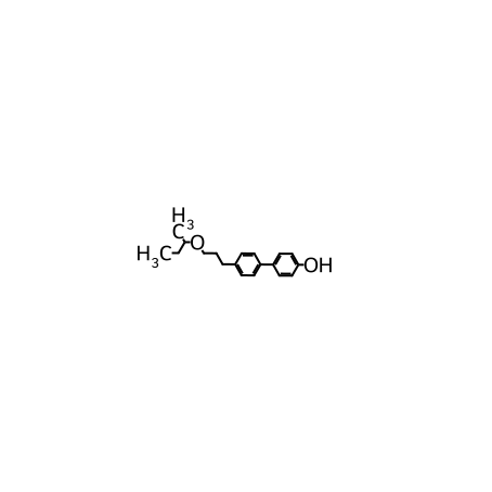 CCC(C)OCCCc1ccc(-c2ccc(O)cc2)cc1